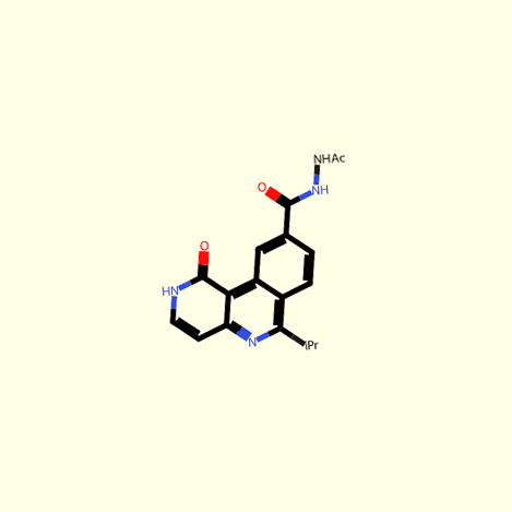 CC(=O)NNC(=O)c1ccc2c(C(C)C)nc3cc[nH]c(=O)c3c2c1